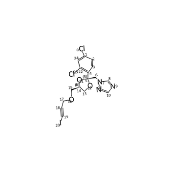 Clc1ccc([C@]2(Cn3cncn3)OC[C@@H](COCC#CI)O2)c(Cl)c1